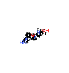 CCC(O)(CC)c1ccc(N2CC[C@H](Cc3ccccc3N3CCNCC3)C2=O)cn1